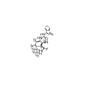 [2H]c1c([2H])c(C([2H])([2H])C([2H])([2H])[2H])c([2H])c([2H])c1NC(=O)Nc1c[nH]c2ccccc12